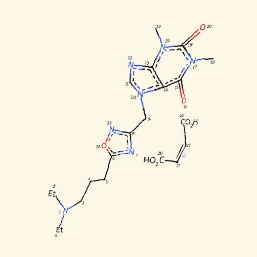 CCN(CC)CCCc1nc(Cn2cnc3c2c(=O)n(C)c(=O)n3C)no1.O=C(O)/C=C\C(=O)O